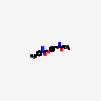 C=CC(=O)NCCc1ccc(OCC(=O)Nc2ccc(C)cc2)cc1